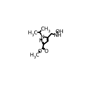 COC(=O)c1cc(CNO)n(C(C)C)n1